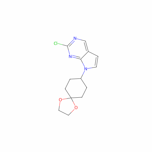 Clc1ncc2ccn(C3CCC4(CC3)OCCO4)c2n1